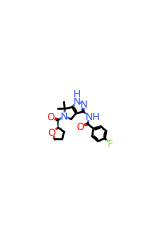 CC1(C)c2[nH]nc(NC(=O)c3ccc(F)cc3)c2CN1C(=O)[C@H]1CCCO1